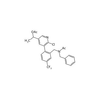 CC(=O)OC(C)c1cnc(Cl)c(-c2ccc(C(F)(F)F)cc2CN(Cc2ccccc2)C(C)=O)c1